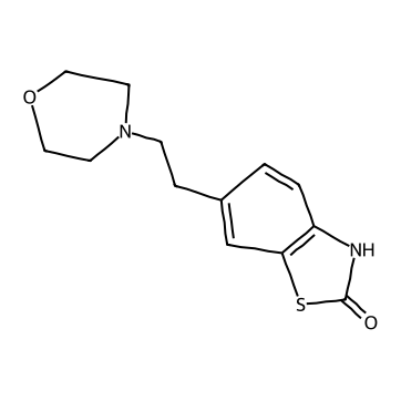 O=c1[nH]c2ccc(CCN3CCOCC3)cc2s1